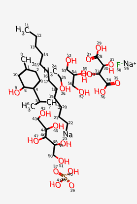 CC1CCC(C(C)C)C(O)C1.CCCCCCCCCCC[CH2][Na].CCO.O=C(O)C(O)C(O)C(=O)O.O=S(=O)(O)O.OCC(O)C(O)C(O)CO.OCC(O)CO.[F-].[Na+]